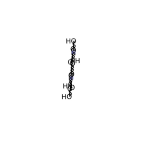 O=C(NCSCSC/N=C/OOCSCSCSCOC(=O)NCSCSC/N=C/OOCCSCCO)OCCSCCO